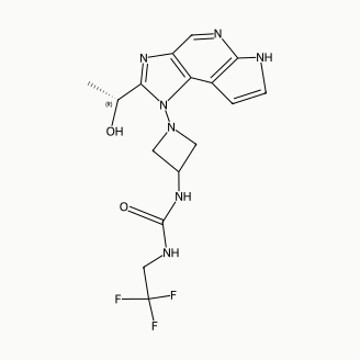 C[C@@H](O)c1nc2cnc3[nH]ccc3c2n1N1CC(NC(=O)NCC(F)(F)F)C1